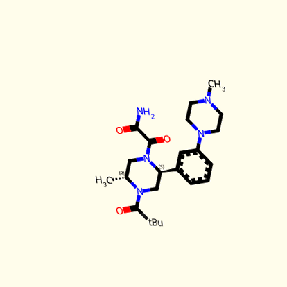 C[C@@H]1CN(C(=O)C(N)=O)[C@@H](c2cccc(N3CCN(C)CC3)c2)CN1C(=O)C(C)(C)C